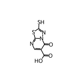 O=C(O)c1cnc2sc(S)nn2c1=O